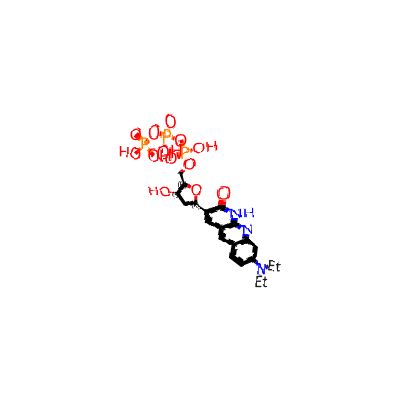 CCN(CC)c1ccc2cc3cc([C@H]4C[C@H](O)[C@@H](COP(=O)(O)OP(=O)(O)OP(=O)(O)O)O4)c(=O)[nH]c3nc2c1